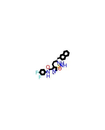 Cn1cc2c(c1C(=O)Nc1ccc(F)c(F)c1)CC[C@H](Cc1ccc3ccccc3c1)NS2(=N)=O